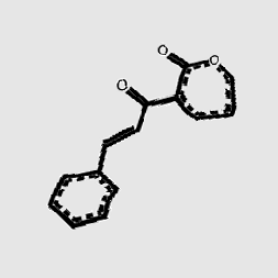 O=C(C=Cc1ccccc1)c1cccoc1=O